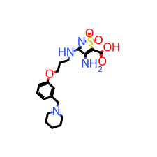 NC1=C(C(=O)O)S(=O)(=O)N=C1NCCCOc1cccc(CN2CCCCC2)c1